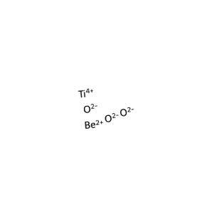 [Be+2].[O-2].[O-2].[O-2].[Ti+4]